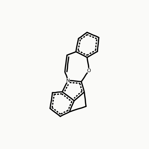 C1=Cn2c(c3c4c(cccc42)C3)Oc2ccccc21